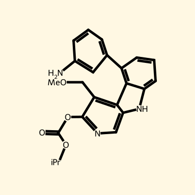 COCc1c(OC(=O)OC(C)C)ncc2[nH]c3cccc(-c4cccc(N)c4)c3c12